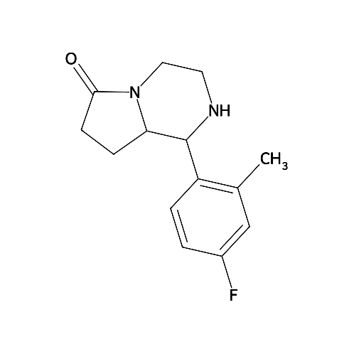 Cc1cc(F)ccc1C1NCCN2C(=O)CCC12